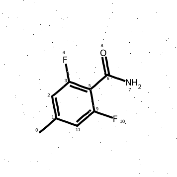 Cc1cc(F)c(C(N)=O)c(F)c1